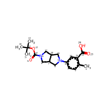 Cc1ccc(N2CC3CN(C(=O)OC(C)(C)C)CC3C2)cc1C(=O)O